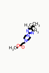 CCOC(=O)CCN1CCN(c2ncc(C(C)(C)C)cn2)CC1